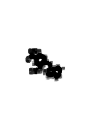 COC(=O)c1ccc(Cn2ncc3ccccc32)c(OC)c1